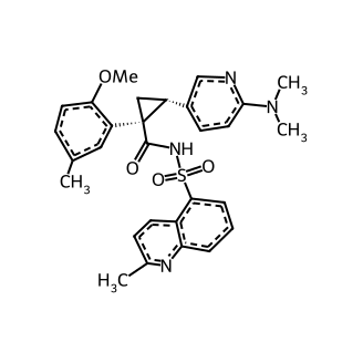 COc1ccc(C)cc1[C@]1(C(=O)NS(=O)(=O)c2cccc3nc(C)ccc23)C[C@@H]1c1ccc(N(C)C)nc1